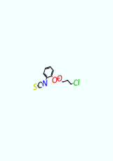 S=C=Nc1ccccc1OOCCCCl